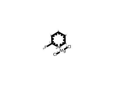 Fc1cc[c]cn1.[Cl][Mg][Cl]